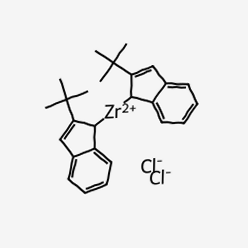 CC(C)(C)C1=Cc2ccccc2[CH]1[Zr+2][CH]1C(C(C)(C)C)=Cc2ccccc21.[Cl-].[Cl-]